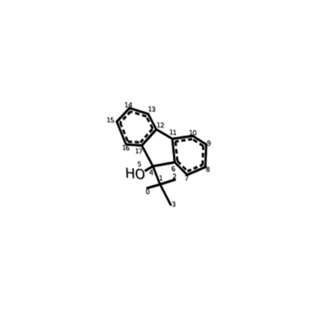 CC(C)(C)C1(O)c2ccccc2-c2ccccc21